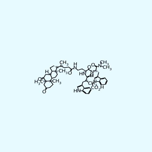 C[C@H](CCC(=O)NCC[C@H](NC(=O)[C@@H](C)Cc1c[nH]c2ccccc12)C(=O)N[C@@H](Cc1cn(CC(=O)O)c2ccccc12)C(=O)N(C)C)[C@H]1CCC2[C@@H]3CC(=O)[C@]4(C)CC(=O)CC[C@]4(C)C3CC[C@@]21C